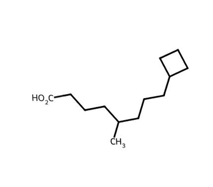 CC(CCCC(=O)O)CCCC1CCC1